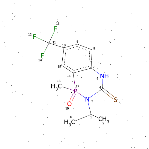 CC(C)N1C(=S)Nc2ccc(C(F)(F)F)cc2P1(C)=O